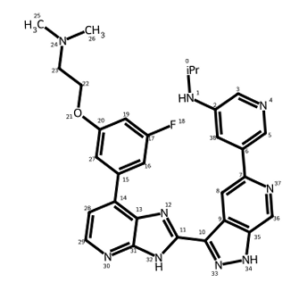 CC(C)Nc1cncc(-c2cc3c(-c4nc5c(-c6cc(F)cc(OCCN(C)C)c6)ccnc5[nH]4)n[nH]c3cn2)c1